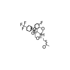 CC(=O)SCC[C@@H]1OCCC2(S(=O)(=O)c3ccc(C(F)(F)F)cc3)c3c(F)ccc(F)c3OC[C@@H]12